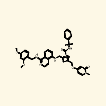 COc1ccc(CNc2nccc3c(NCC45CC(COc6ccn(C)c(=O)c6)(CN4C(=O)NC(C)(C)c4ccccc4)C5)cccc23)c(OC)c1